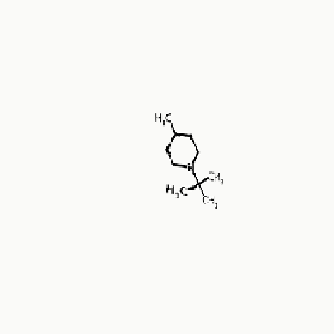 CC1CCN(C(C)(C)C)CC1